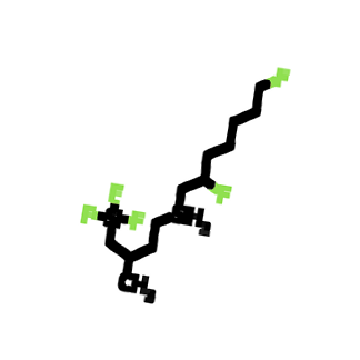 CC(CC[SiH2]CC(F)CCCCCF)C[Si](F)(F)F